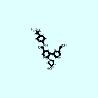 C#Cc1cncc(-c2cc(C(=O)Nc3ccc(C(F)(F)C(F)(F)F)cc3)cnc2N2CC[C@@H](O)C2)c1